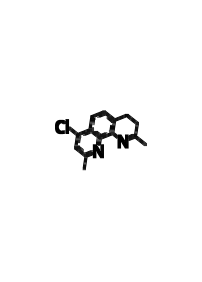 CC1=Nc2c(ccc3c(Cl)cc(C)nc23)CC1